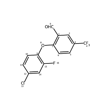 O=Cc1cc(C(F)(F)F)ccc1Oc1ccc(Cl)cc1F